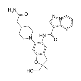 CC1(CO)Cc2cc(NC(=O)c3cnn4cccnc34)c(N3CCC(CC(N)=O)CC3)cc2O1